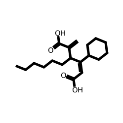 C=C(C(=O)O)C(CCCCCC)C(=CC(=O)O)C1CCCCC1